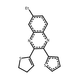 CCc1ccc2nc(-c3cccs3)c(C3=CCCS3)nc2c1